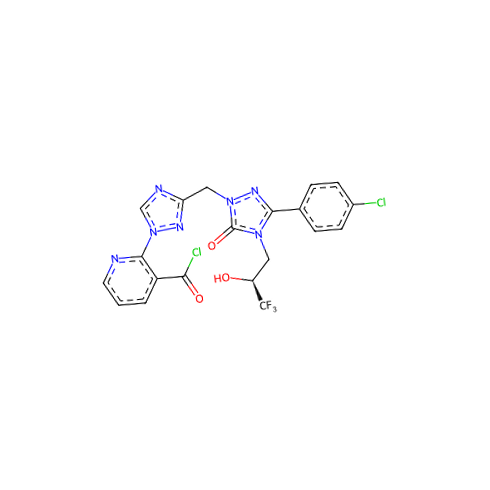 O=C(Cl)c1cccnc1-n1cnc(Cn2nc(-c3ccc(Cl)cc3)n(C[C@H](O)C(F)(F)F)c2=O)n1